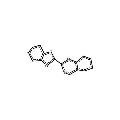 [c]1ccc2nc(-c3ncc4ccccc4n3)oc2c1